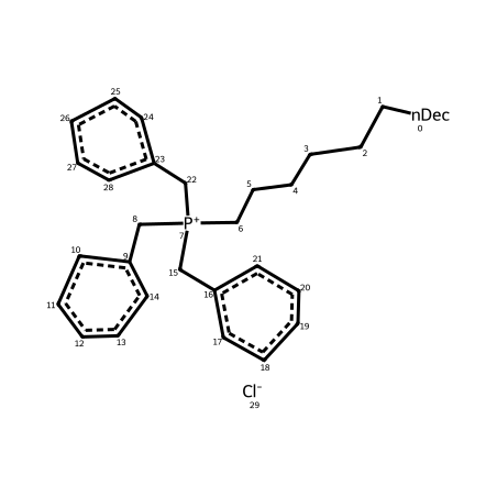 CCCCCCCCCCCCCCCC[P+](Cc1ccccc1)(Cc1ccccc1)Cc1ccccc1.[Cl-]